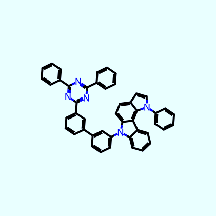 c1ccc(-c2nc(-c3ccccc3)nc(-c3cccc(-c4cccc(-n5c6ccccc6c6c7c(ccc65)ccn7-c5ccccc5)c4)c3)n2)cc1